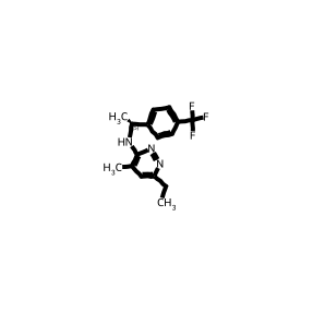 CCc1cc(C)c(N[C@@H](C)c2ccc(C(F)(F)F)cc2)nn1